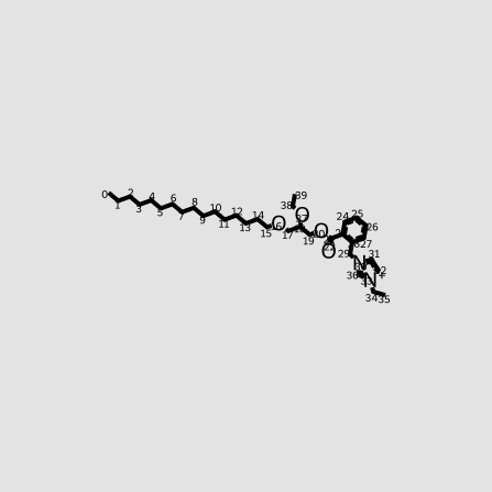 CCCCCCCCCCCCCCCCOCC(COC(=O)c1ccccc1Cn1cc[n+](CC)c1)OCC